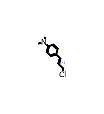 CN(C)c1ccc(/C=C/CCl)cc1